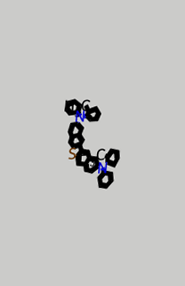 Cc1ccccc1N(c1ccccc1)c1ccc2cc3sc4cc5ccc(N(c6ccccc6)c6ccccc6C)cc5cc4c3cc2c1